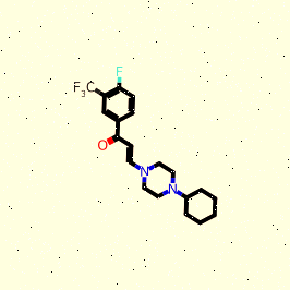 O=C(C=CN1CCN(C2CCCCC2)CC1)c1ccc(F)c(C(F)(F)F)c1